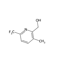 Cc1ccc(C(F)(F)F)nc1CO